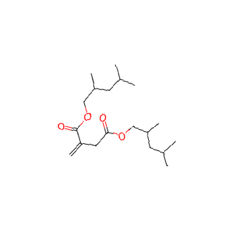 C=C(CC(=O)OCC(C)CC(C)C)C(=O)OCC(C)CC(C)C